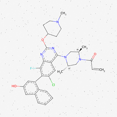 C=CC(=O)N1C[C@H](C)N(c2nc(OC3CCN(C)CC3)nc3c(F)c(-c4cc(O)cc5ccccc45)c(Cl)cc23)C[C@H]1C